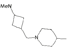 CNC1CC(CN2CCC(C)CC2)C1